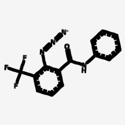 [N-]=[N+]=Nc1c(C(=O)Nc2ccccc2)cccc1C(F)(F)F